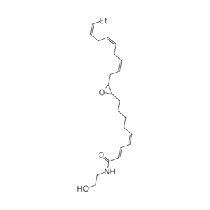 CC/C=C\C/C=C\C/C=C\CC1OC1CCCC/C=C\C=C\C(=O)NCCO